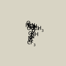 C/N=C(/N)S[C@](C)(Cc1cc(NC(=O)c2cnc(OCC(F)(F)F)cn2)ccc1F)C(=O)N1CCOCC1